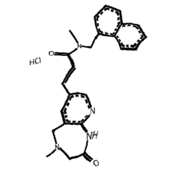 CN1CC(=O)Nc2ncc(C=CC(=O)N(C)Cc3cccc4ccccc34)cc2C1.Cl